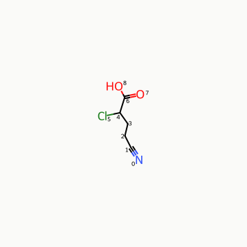 N#CCCC(Cl)C(=O)O